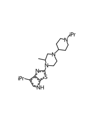 CC(C)c1c[nH]c2sc(N3CCN(C4CCN(C(C)C)CC4)CC3C)nc12